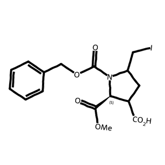 COC(=O)[C@@H]1C(C(=O)O)CC(CI)N1C(=O)OCc1ccccc1